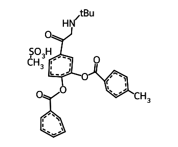 CS(=O)(=O)O.Cc1ccc(C(=O)Oc2cc(C(=O)CNC(C)(C)C)ccc2OC(=O)c2ccccc2)cc1